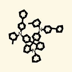 Cc1cccc(N(c2ccc(-c3ccccc3)cc2)c2ccc(C3(c4ccc(N(c5ccc(-c6ccccc6)cc5)c5cccc(C)c5)cc4)c4ccccc4N(c4ccccc4)c4ccccc43)cc2)c1